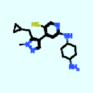 Cn1ncc(-c2cc(N[C@H]3CC[C@H](N)CC3)ncc2S)c1CC1CC1